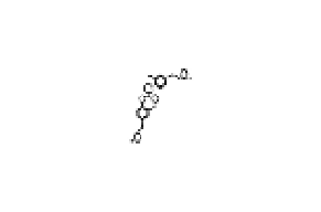 COCCc1ccc(OC(=O)Oc2ccc(CCOC)cc2C)c(C)c1